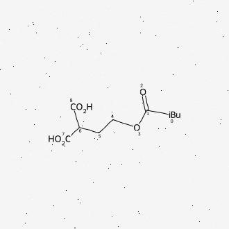 CCC(C)C(=O)OCCC(C(=O)O)C(=O)O